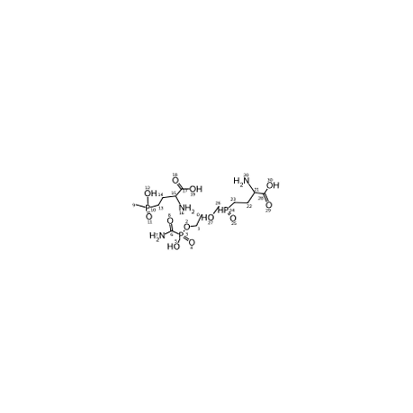 CCOP(=O)(O)C(N)=O.CP(=O)(O)CCC(N)C(=O)O.NC(CC[PH](=O)CO)C(=O)O